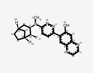 CN(c1ccc(-c2cc3nccnc3cc2O)nn1)[C@@H]1C[C@H]2CC[C@H](C2)[C@@H]1F